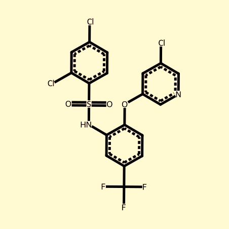 O=S(=O)(Nc1cc(C(F)(F)F)ccc1Oc1cncc(Cl)c1)c1ccc(Cl)cc1Cl